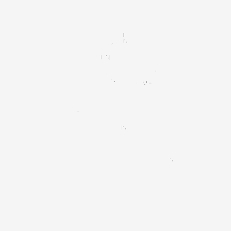 COC(=O)C1=C(CBr)NC(=O)NC1N(C(=O)CCNC1CCC(C#N)(c2ccccc2)CC1)c1ccc(F)c(F)c1